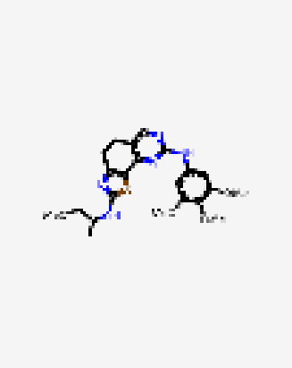 COCC(C)Nc1nc2c(s1)-c1nc(Nc3cc(OC)c(OC)c(OC)c3)ncc1CC2